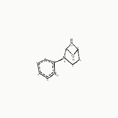 c1ccc(N2CCC3NC2O3)nc1